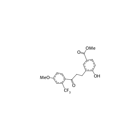 COC(=O)c1ccc(O)c(CCC(=O)c2ccc(OC)cc2C(F)(F)F)c1